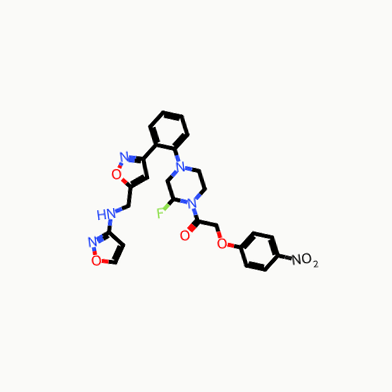 O=C(COc1ccc([N+](=O)[O-])cc1)N1CCN(c2ccccc2-c2cc(CNc3ccon3)on2)CC1F